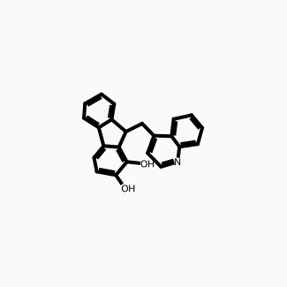 Oc1ccc2c(c1O)C(Cc1ccnc3ccccc13)c1ccccc1-2